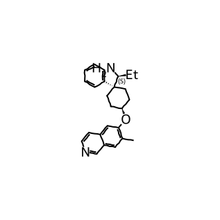 CC[C@H](N)[C@]1(c2ccccc2)CC[C@H](Oc2cc3ccncc3cc2C)CC1